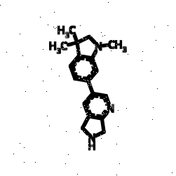 CN1CC(C)(C)c2ccc(-c3cnc4c(c3)CNC4)cc21